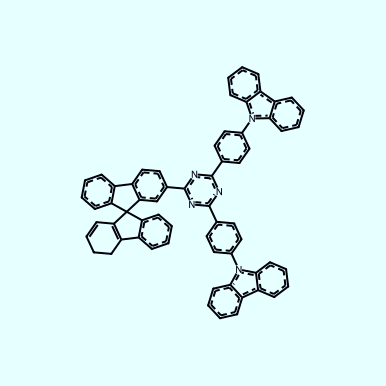 C1=CC2=C(CC1)c1ccccc1C21c2ccccc2-c2ccc(-c3nc(-c4ccc(-n5c6ccccc6c6ccccc65)cc4)nc(-c4ccc(-n5c6ccccc6c6ccccc65)cc4)n3)cc21